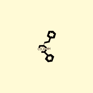 CC(N[C@@H](CCc1ccccc1)CC(=O)O)c1ccccc1